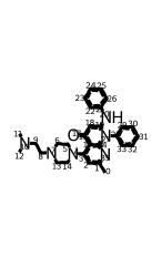 Cc1cc(N2CCN(CCN(C)C)CC2)c2c(=O)cc(Nc3ccccc3)n(-c3ccccc3)c2n1